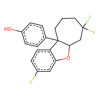 Oc1ccc(C23CCCC(F)(F)CC2Oc2cc(F)ccc23)cc1